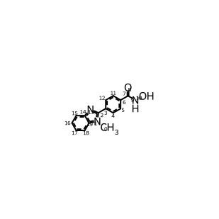 Cn1c(-c2ccc(C(=O)NO)cc2)nc2ccccc21